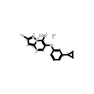 O=C([O-])c1c(Oc2cccc(C3CC3)c2)cnc2cc(F)nn12.[Li+]